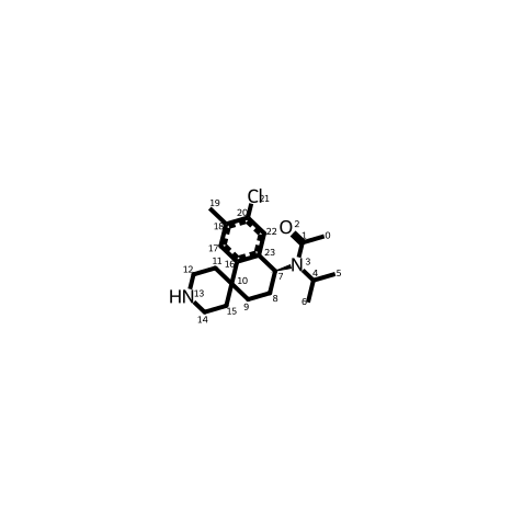 CC(=O)N(C(C)C)[C@H]1CCC2(CCNCC2)c2cc(C)c(Cl)cc21